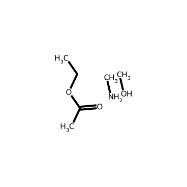 CCOC(C)=O.CN.CO